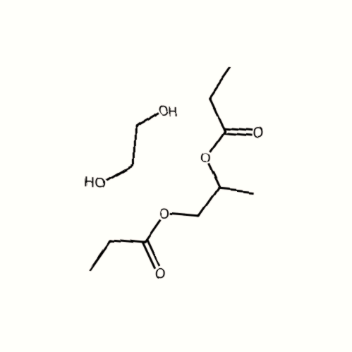 CCC(=O)OCC(C)OC(=O)CC.OCCO